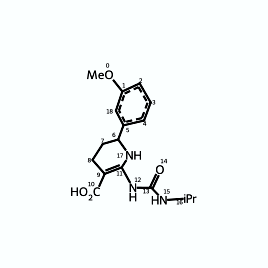 COc1cccc(C2CCC(C(=O)O)=C(NC(=O)NC(C)C)N2)c1